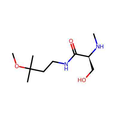 CN[C@@H](CO)C(=O)NCCC(C)(C)OC